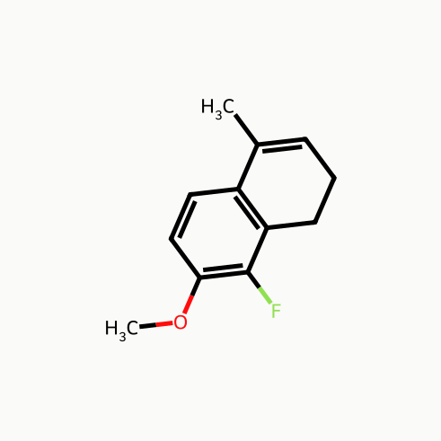 COc1ccc2c(c1F)CCC=C2C